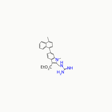 CCOC(=O)c1c(CNC(=N)N)n(C)c2cc(-c3ccc(C)c4ccccc34)ccc12